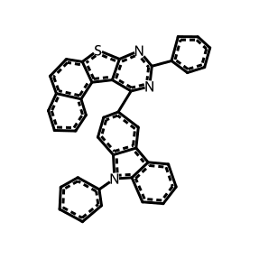 c1ccc(-c2nc(-c3ccc4c(c3)c3ccccc3n4-c3ccccc3)c3c(n2)sc2ccc4ccccc4c23)cc1